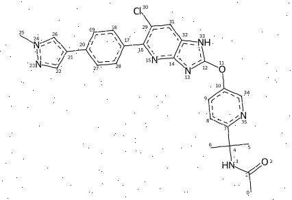 CC(=O)NC(C)(C)c1ccc(Oc2nc3nc(-c4ccc(-c5cnn(C)c5)cc4)c(Cl)cc3[nH]2)cn1